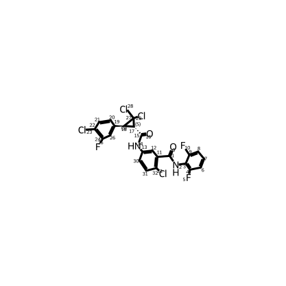 O=C(Nc1c(F)cccc1F)c1cc(NC(=O)[C@@H]2[C@@H](c3ccc(Cl)c(F)c3)C2(Cl)Cl)ccc1Cl